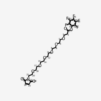 O=C(CCOCCOCCOCCOCCOCCOCCN1C(=O)C=CC1=O)Oc1c(F)c(F)c(F)c(F)c1F